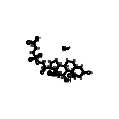 C[C@]12C=CC(=O)C=C1CCC1C2C(O)C[C@@]2(C)C1CC[C@]2(O)C(=O)COS(=O)(=O)CCC(=O)[O-].[Na+]